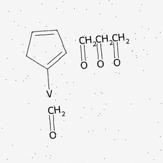 C=O.C=O.C=O.C=O.[V][C]1=CC=CC1